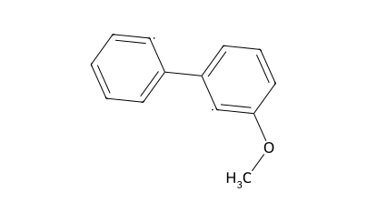 COc1[c]c(-c2[c]cccc2)ccc1